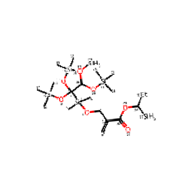 C=C(CO[Si](C)(C)C(O[Si](C)(C)C)(O[Si](C)(C)C)C(O[SiH3])O[Si](C)(C)C)C(=O)OC([SiH3])CC